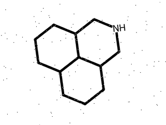 C1CC2CCCC3CNCC(C1)C23